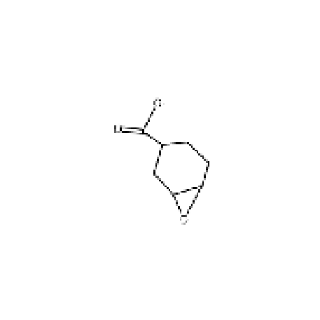 [O]C(=O)C1CCC2OC2C1